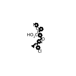 O=C(c1ccc(Oc2ccccc2Oc2cccnc2)c(C(=O)O)c1)c1ccc(N(CC2CC2)c2ccc(Cl)cc2)cn1